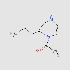 CCCC1CNCCN1C(C)=O